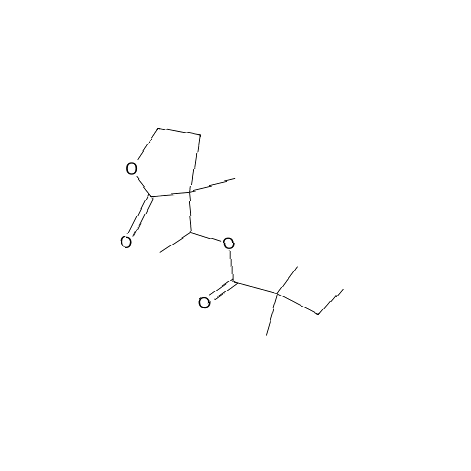 CCC(C)(C)C(=O)OC(C)C1(C)CCOC1=O